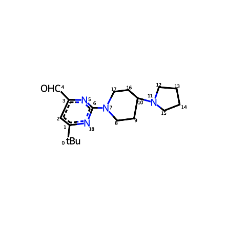 CC(C)(C)c1cc(C=O)nc(N2CCC(N3CCCC3)CC2)n1